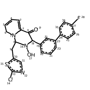 O=C1C2=CC=CCN2C(Cc2cnc(Cl)s2)N(O)C1c1cccc(-c2ccc(F)cc2)c1